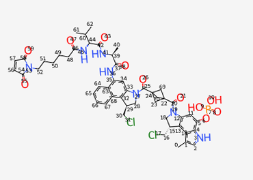 Cc1c[nH]c2c(OP(=O)(O)O)cc3c(c12)[C@H](CCl)CN3C(=O)C12CC(C(=O)N3C[C@@H](CCl)c4c3cc(NC(=O)[C@H](C)NC(=O)[C@@H](NC(=O)CCCCCN3C(=O)C=CC3=O)C(C)C)c3ccccc43)(C1)C2